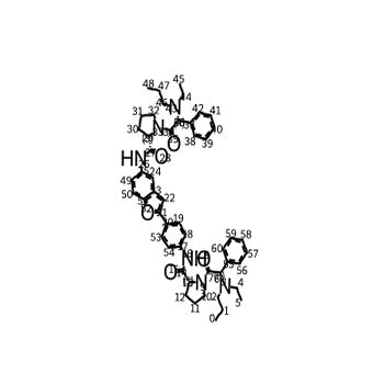 CCCN(CC)[C@@H](C(=O)N1CCC[C@H]1C(=O)Nc1ccc(-c2cc3cc(NC(=O)[C@@H]4CCCN4C(=O)[C@@H](c4ccccc4)N(CC)CCC)ccc3o2)cc1)c1ccccc1